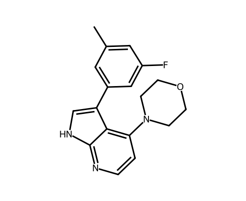 Cc1cc(F)cc(-c2c[nH]c3nccc(N4CCOCC4)c23)c1